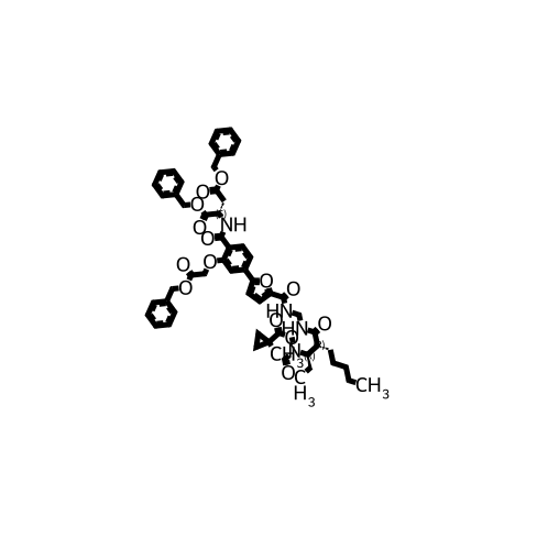 CCCCC[C@@H](C(=O)NCNC(=O)c1ccc(-c2ccc(C(=O)N[C@@H](CC(=O)OCc3ccccc3)C(=O)OCc3ccccc3)c(OCC(=O)OCc3ccccc3)c2)o1)[C@@H](CC)N(C=O)OC(=O)C1(C)CC1